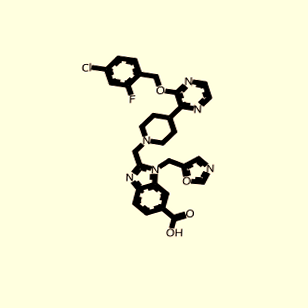 O=C(O)c1ccc2nc(CN3CCC(c4nccnc4OCc4ccc(Cl)cc4F)CC3)n(Cc3cnco3)c2c1